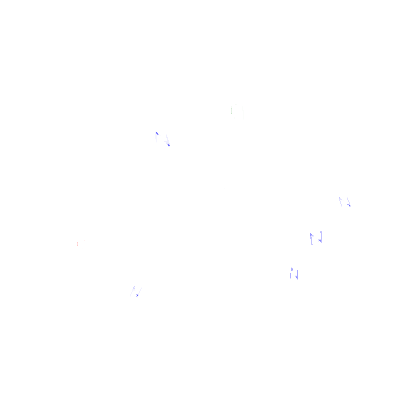 COc1ncc(C(C)(C)N=[N+]=[N-])c2cc(Cl)ncc12